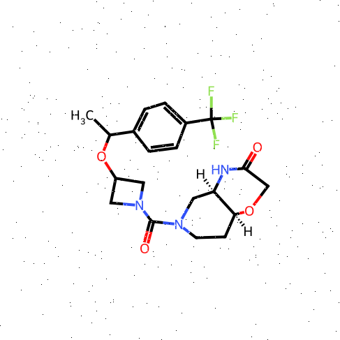 CC(OC1CN(C(=O)N2CC[C@@H]3OCC(=O)N[C@@H]3C2)C1)c1ccc(C(F)(F)F)cc1